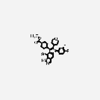 COC(=O)C1CC=C(c2c(C3CCOCC3)n(-c3ccc(F)c(F)c3)c3cc4cn[nH]c4c(Br)c23)CC1